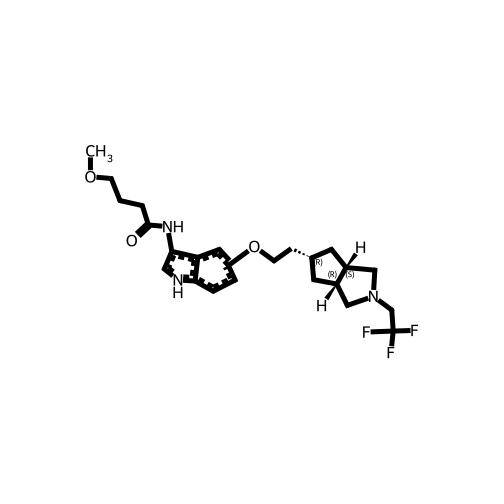 COCCCC(=O)Nc1c[nH]c2ccc(OCC[C@@H]3C[C@@H]4CN(CC(F)(F)F)C[C@@H]4C3)cc12